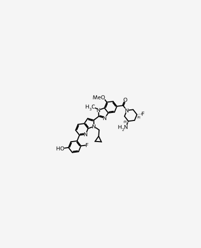 COc1cc(C(=O)N2C[C@H](N)C[C@@H](F)C2)cc2nc(-c3cc4ccc(-c5cc(O)ccc5F)nc4n3CC3CC3)n(C)c12